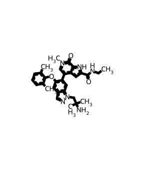 CCNC(=O)c1cc2c(-c3cc4c(cnn4CC(C)(C)N)cc3Oc3c(C)cccc3C)cn(C)c(=O)c2[nH]1